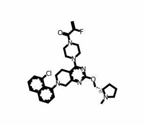 C=C(F)C(=O)N1CCN(c2nc(OC[C@@H]3CCCN3C)nc3c2CCN(c2cccc4cccc(Cl)c24)C3)CC1